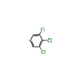 Clc1[c][c]cc(Cl)c1Cl